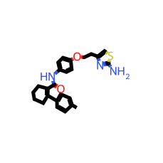 Cc1ccc(C2=C(C(=O)Nc3ccc(OCCc4csc(N)n4)cc3)CCCC2)cc1